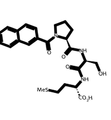 CSCC[C@H](NC(=O)[C@H](CO)NC(=O)[C@@H]1CCCN1C(=O)c1ccc2ccccc2c1)C(=O)O